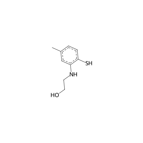 Cc1ccc(S)c(NCCO)c1